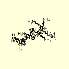 N=C(N)NCC/C=C(\NC(=O)[C@H](CCCCN)NC(=O)[C@H](Cc1cnc[nH]1)NC(=O)[C@@H]1CCCN1C(=O)/C(CCCN)=N/C(=O)CNC(=O)[C@@H](NC(=O)C[C@@H](O)CN)[C@@H](O)CN)C(=O)N[C@H](CCCCN)C(=O)NCCCCN